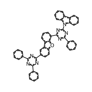 c1ccc(-c2nc(-c3ccccc3)nc(-c3ccc4oc5c(-c6nc(-c7ccccc7)nc(-n7c8ccccc8c8ccccc87)n6)cccc5c4c3)n2)cc1